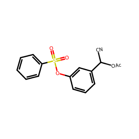 CC(=O)OC(C#N)c1cccc(OS(=O)(=O)c2ccccc2)c1